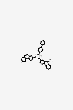 CC1(C)c2ccccc2-c2ccc(-c3nc(-c4ccc(-c5ccccc5)cc4)nc(-c4ccc5c(ccc6ccccc65)c4)n3)cc21